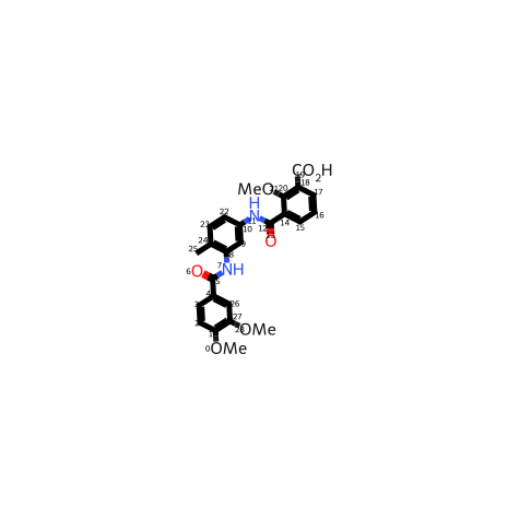 COc1ccc(C(=O)Nc2cc(NC(=O)c3cccc(C(=O)O)c3OC)ccc2C)cc1OC